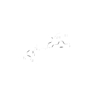 C[C@H](O)CNC(=O)c1cn(CCCNc2ccc([N+](=O)[O-])c(N)n2)cc1-c1ccc(OC(F)(F)F)cc1